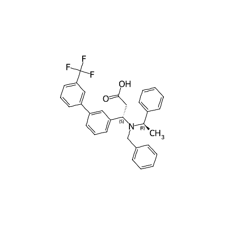 C[C@H](c1ccccc1)N(Cc1ccccc1)[C@@H](CC(=O)O)c1cccc(-c2cccc(C(F)(F)F)c2)c1